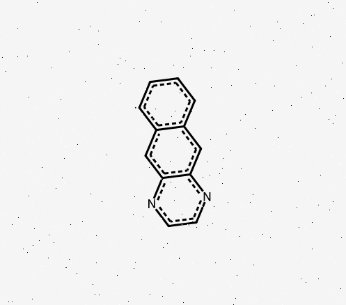 [c]1cccc2cc3nccnc3cc12